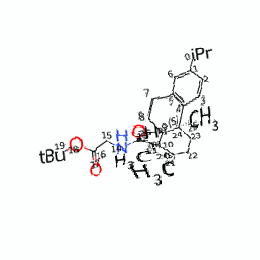 CC(C)c1ccc2c(c1)CC[C@H]1[C@](C)(C(=O)NCC(=O)OC(C)(C)C)[C@@H](C)CC[C@]21C